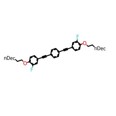 CCCCCCCCCCCCOc1ccc(C#Cc2ccc(C#Cc3ccc(OCCCCCCCCCCCC)c(F)c3)cc2)cc1F